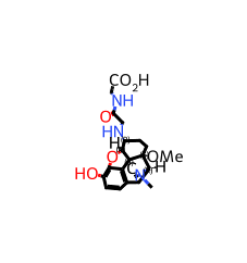 CO[C@@]12CC[C@@H](NCC(=O)NCC(=O)O)[C@@H]3Oc4c(O)ccc5c4[C@@]31CCN(C)[C@@H]2C5